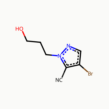 N#Cc1c(Br)cnn1CCCO